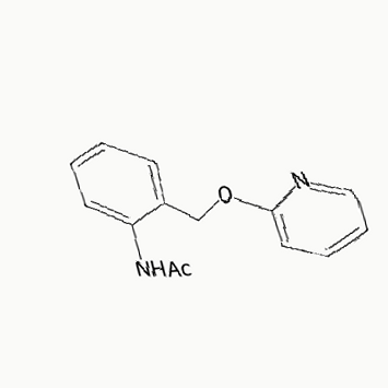 CC(=O)Nc1ccccc1COc1ccccn1